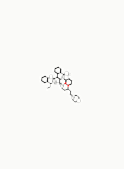 CC[C@H](NC(=O)c1c(CN2CCC(CCN3CCOCC3)CC2)n(-c2ccccc2F)c(=O)c2ccccc12)c1ccccc1